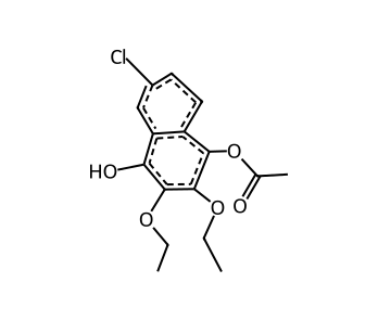 CCOc1c(OCC)c(OC(C)=O)c2ccc(Cl)cc2c1O